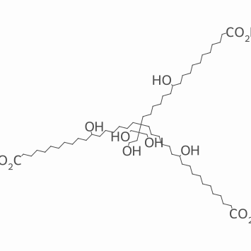 O=C(O)CCCCCCCCCCC(O)CCCCCCC(CCCCCCC(O)CCCCCCCCCCC(=O)O)(CCCCCCC(O)CCCCCCCCCCC(=O)O)C(CO)(CO)CCO